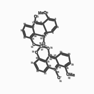 COc1cccc2c1[n+]([O-])c1cccc3c1[n+]2[O][Cu-2]1([O]3)[O]c2cccc3c2[n+](c2cccc(OC)c2[n+]3[O-])[O]1